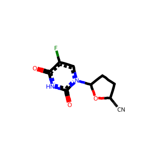 N#CC1CCC(n2cc(F)c(=O)[nH]c2=O)O1